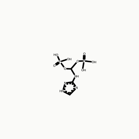 O=P(O)(O)OC(Nc1nc[nH]n1)OP(=O)(O)O